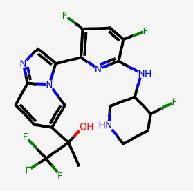 CC(O)(c1ccc2ncc(-c3nc(NC4CNCCC4F)c(F)cc3F)n2c1)C(F)(F)F